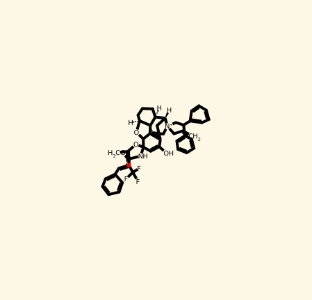 C=CC[N+]1(CC(c2ccccc2)c2ccccc2)CC[C@@]23C4=C5C[C@@H]1[C@@H]2CCC[C@@H]3OC4C(NC(=O)C(=Cc1ccccc1)C(F)(F)F)(OC(C)=O)C=C5O